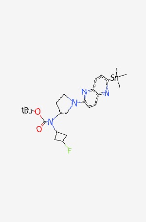 CC(C)(C)OC(=O)N(C1CC(F)C1)C1CCN(c2ccc3n[c]([Sn]([CH3])([CH3])[CH3])ccc3n2)C1